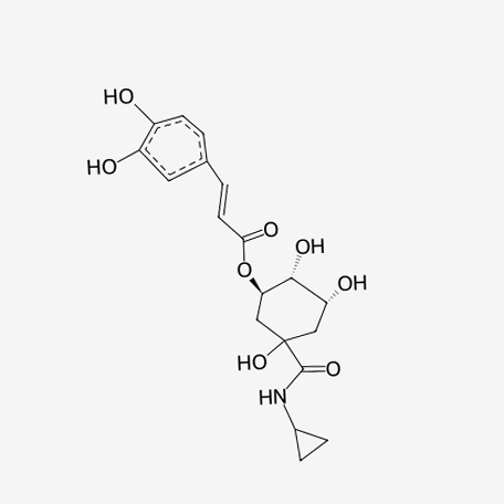 O=C(/C=C/c1ccc(O)c(O)c1)O[C@@H]1CC(O)(C(=O)NC2CC2)C[C@@H](O)[C@H]1O